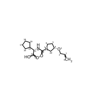 C=CCO[C@H]1CCN(C(=O)N[C@H](C(=O)O)C2CCCC2)C1